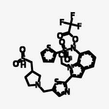 CCn1c(-c2ncc(CN3CCC(C[SH](=O)=O)C3)s2)cc2cccc(N(OC(=O)C(F)(F)F)S(=O)(=O)c3cccs3)c21